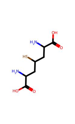 NC(CC(S)CC(N)C(=O)O)C(=O)O